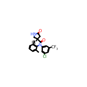 CCC1(C(=O)N(c2cc(Cl)cc(C(F)(F)F)c2)c2c(C)cccc2C)CNC(=O)C1